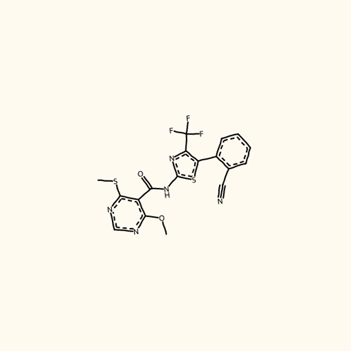 COc1ncnc(SC)c1C(=O)Nc1nc(C(F)(F)F)c(-c2ccccc2C#N)s1